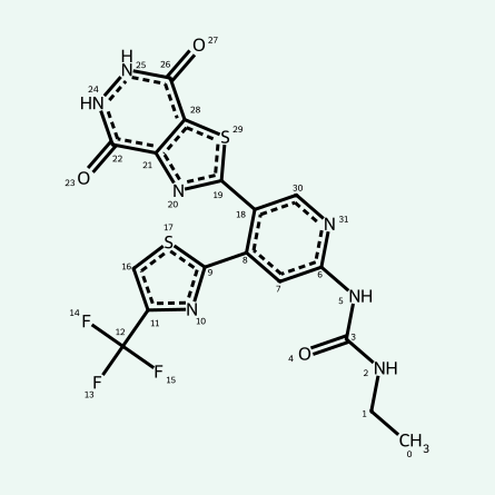 CCNC(=O)Nc1cc(-c2nc(C(F)(F)F)cs2)c(-c2nc3c(=O)[nH][nH]c(=O)c3s2)cn1